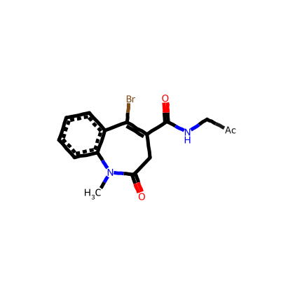 CC(=O)CNC(=O)C1=C(Br)c2ccccc2N(C)C(=O)C1